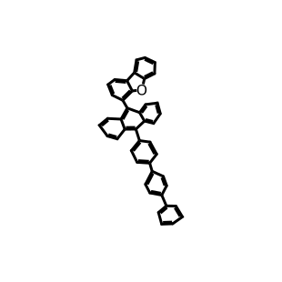 c1ccc(-c2ccc(-c3ccc(-c4c5ccccc5c(-c5cccc6c5oc5ccccc56)c5ccccc45)cc3)cc2)cc1